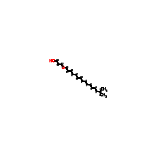 CC(C)CCCCCCCCCCCCCCOCCCO